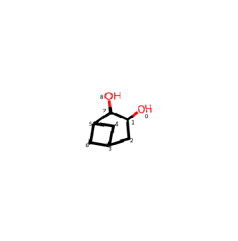 OC1CC2CC(C2)C1O